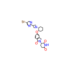 O=C1CCC(N2Cc3cc(O[C@H]4CCCC[C@H]4N4CC(c5ncc(Br)cn5)C4)ccc3C2=O)C(=O)N1